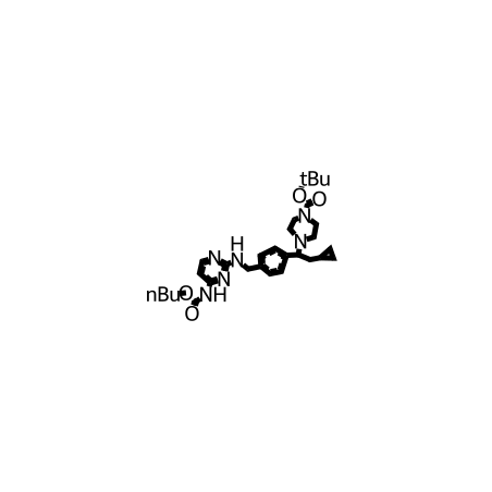 CCCCOC(=O)Nc1ccnc(NCc2ccc(C(CC3CC3)N3CCN(C(=O)OC(C)(C)C)CC3)cc2)n1